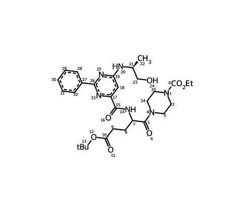 CCOC(=O)N1CCN(C(=O)C(CCC(=O)OC(C)(C)C)NC(=O)c2cc(N[C@@H](C)CO)nc(-c3ccccc3)n2)CC1